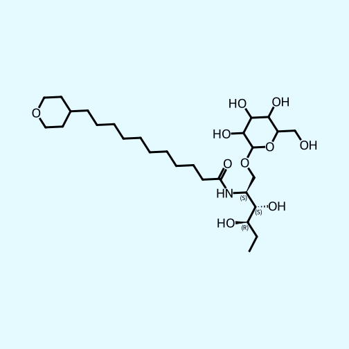 CC[C@@H](O)[C@@H](O)[C@H](COC1OC(CO)C(O)C(O)C1O)NC(=O)CCCCCCCCCCC1CCOCC1